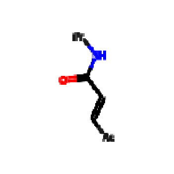 CC(=O)/C=C/C(=O)NC(C)C